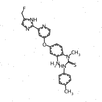 Cc1ccc(NC(=S)N(C)c2ccc(Oc3ccnc(-c4ncc(CF)[nH]4)c3)cc2N)cc1